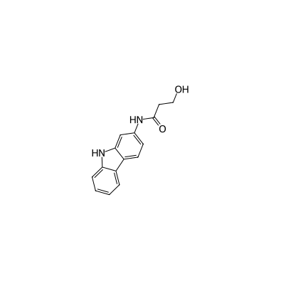 O=C(CCO)Nc1ccc2c(c1)[nH]c1ccccc12